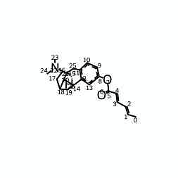 C/C=C/C=C/C(=O)Oc1ccc2c(c1)[C@@]13CCCC(C1)[C@@H]3[C@@H](N(C)C)C2